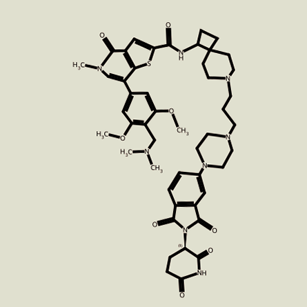 COc1cc(-c2cn(C)c(=O)c3cc(C(=O)NC4CCC45CCN(CCCN4CCN(c6ccc7c(c6)C(=O)N([C@@H]6CCC(=O)NC6=O)C7=O)CC4)CC5)sc23)cc(OC)c1CN(C)C